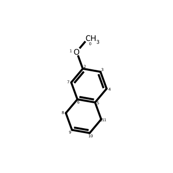 COc1ccc2c(c1)CC=C[CH]2